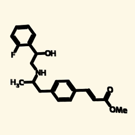 COC(=O)/C=C/c1ccc(CC(C)NCC(O)c2ccccc2F)cc1